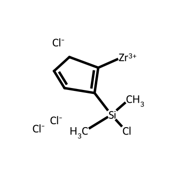 C[Si](C)(Cl)C1=[C]([Zr+3])CC=C1.[Cl-].[Cl-].[Cl-]